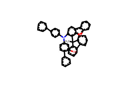 CC1(c2c(N(c3ccc(-c4ccccc4)cc3)c3ccc(-c4ccccc4)c(O)c3)ccc3c2oc2ccccc23)c2ccccc2-c2ccccc21